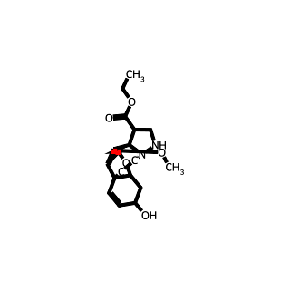 CCOC(=O)C1CNN2CCC34C=CC(O)CC3Oc3c(OC)ccc(c34)C12